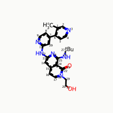 Cc1cnccc1-c1ccnc(Nc2cc3ccn(CCO)c(=O)c3c(NC(C)(C)C)n2)c1